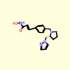 O=C(/C=C/c1ccc(CN2CCC[C@@H]2Cn2cccn2)cc1)NO